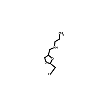 NCCNCC1COC(CCl)O1